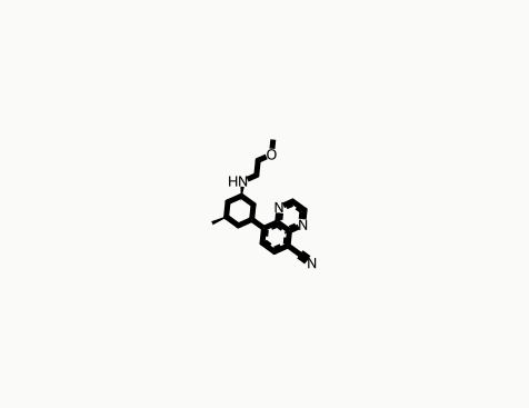 COCCN[C@H]1CC(c2ccc(C#N)c3nccnc23)C[C@@H](C)C1